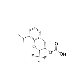 CC(C)c1cccc2c1OC(C(F)(F)F)C(OC(=O)O)=C2